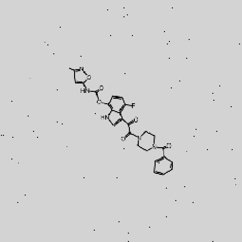 Cc1cc(NC(=O)Oc2ccc(F)c3c(C(=O)C(=O)N4CCN(C(=O)c5ccccc5)CC4)c[nH]c23)on1